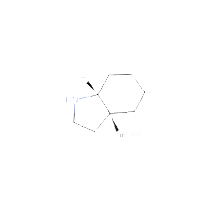 CCCCC[C@]12CCCC[C@H]1NCC2